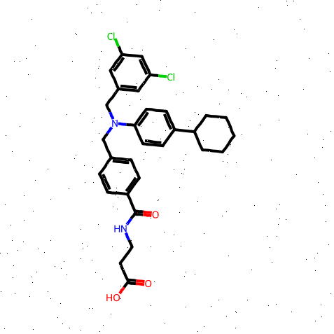 O=C(O)CCNC(=O)c1ccc(CN(Cc2cc(Cl)cc(Cl)c2)c2ccc(C3CCCCC3)cc2)cc1